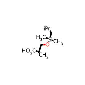 C=C(CO[Si](C)(C)CC(C)C)C(=O)O